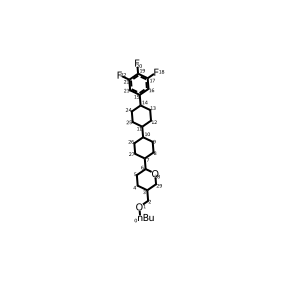 CCCCOCC1CCC(C2CCC(C3CCC(c4cc(F)c(F)c(F)c4)CC3)CC2)OC1